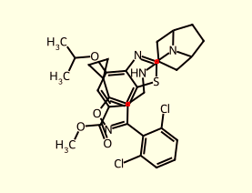 COC(=O)c1cc(OC(C)C)c2nc(N3C4CCC3CC(NCc3c(-c5c(Cl)cccc5Cl)noc3C3CC3)C4)sc2c1